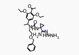 CCOc1cc(C(C)N(CCOCc2ccccc2)C(=O)NC2(/C(N)=N/NN)CC2)cc(OCC)c1C(C)=O